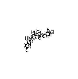 O=C(Cc1ccc(Cl)cn1)NC12CCC(NC(=O)COc3ccc(Cl)c(F)c3)(CC1)[C@@H](O)C2